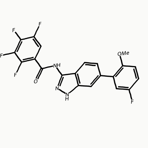 COc1ccc(F)cc1-c1ccc2c(NC(=O)c3cc(F)c(F)c(F)c3F)n[nH]c2c1